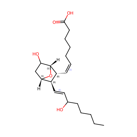 CCCCCC(O)/C=C/[C@@H]1[C@@H](/C=C\CCCCC(=O)O)[C@@H]2O[C@H]1CC2O